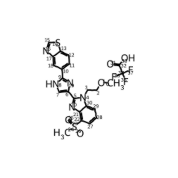 COCCn1c(-c2c[nH]c(-c3ccc4scnc4c3)n2)nc2c(S(C)(=O)=O)cccc21.O=C(O)C(F)(F)F